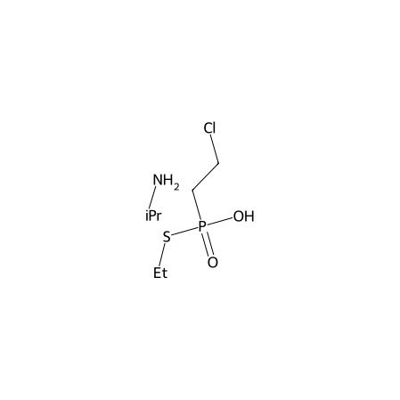 CC(C)N.CCSP(=O)(O)CCCl